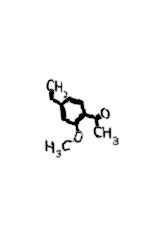 C=Cc1ccc(C(C)=O)c(OC)c1